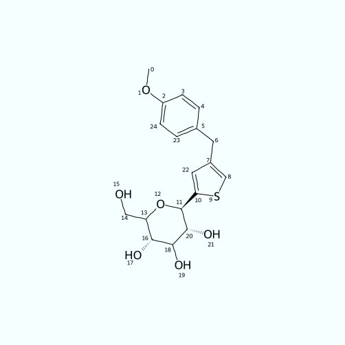 COc1ccc(Cc2csc([C@@H]3OC(CO)[C@@H](O)C(O)[C@H]3O)c2)cc1